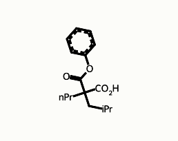 CCCC(CC(C)C)(C(=O)O)C(=O)Oc1ccccc1